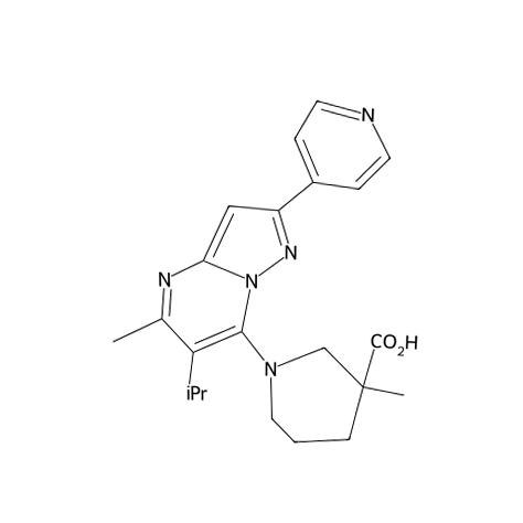 Cc1nc2cc(-c3ccncc3)nn2c(N2CCCC(C)(C(=O)O)C2)c1C(C)C